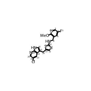 COc1ncc(F)cc1CNc1ncc(Cc2c[nH]c3ncc(Cl)cc23)s1